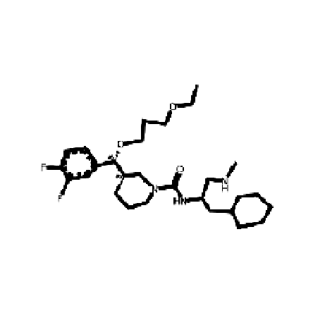 CCOCCCO[C@@H](c1ccc(F)c(F)c1)[C@@H]1CCCN(C(=O)NC(CNC)CC2CCCCC2)C1